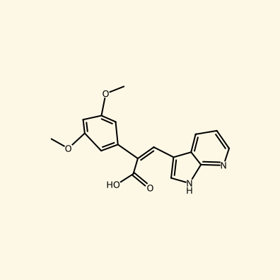 COc1cc(OC)cc(C(=Cc2c[nH]c3ncccc23)C(=O)O)c1